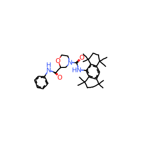 CC1(C)CCC(C)(C)c2c1cc1c(c2NC(=O)N2CCOC(C(=O)Nc3ccccc3)C2)C(C)(C)CCC1(C)C